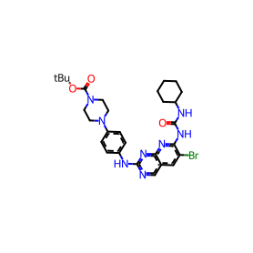 CC(C)(C)OC(=O)N1CCN(c2ccc(Nc3ncc4cc(Br)c(NC(=O)NC5CCCCC5)nc4n3)cc2)CC1